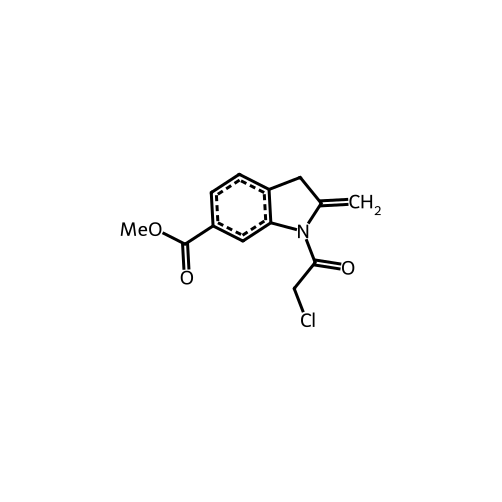 C=C1Cc2ccc(C(=O)OC)cc2N1C(=O)CCl